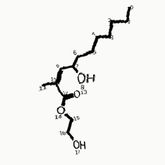 CCCCCCCC(O)C=C(C)C(=O)OCCO